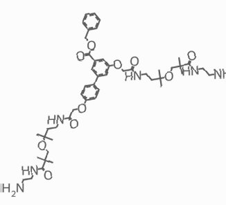 CC(C)(CCNC(=O)COc1ccc(-c2cc(OCC(=O)NCCC(C)(C)OCC(C)(C)C(=O)NCCN)cc(C(=O)OCc3ccccc3)c2)cc1)OCC(C)(C)C(=O)NCCN